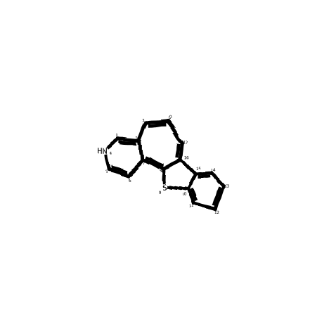 C1=CC2=CNC=CC2=c2sc3ccccc3c2=C1